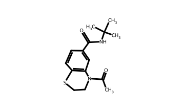 CC(=O)N1CCSc2ccc(C(=O)NC(C)(C)C)cc21